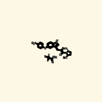 N#CC1CCCN1C(=O)C(N)Cc1c[nH]c2ccc(Oc3ccc([N+](=O)[O-])cc3)cc12.O=C(O)C(F)(F)F